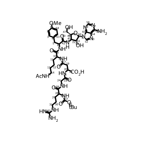 COc1ccc(CC(NC(=O)C(CCCCNC(C)=O)NC(=O)CC(NC(=O)CNC(=O)C(CCCNC(=N)N)NC(=O)OC(C)(C)C)C(=O)O)C(=O)NC2[C@@H](CO)O[C@@H](n3cnc4c(N)ncnc43)[C@H]2O)cc1